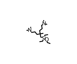 CCO[Si](CC)(CC)CC(C)(CCCN(C)C)CCCN(C)C